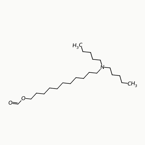 CCCCCN(CCCCC)CCCCCCCCCCCOC=O